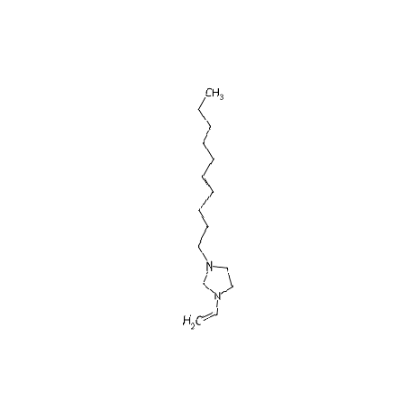 C=CN1CCN(CCCCCCCCCC)C1